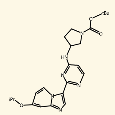 CC(C)Oc1ccn2c(-c3nccc(NC4CCN(C(=O)OC(C)(C)C)C4)n3)cnc2c1